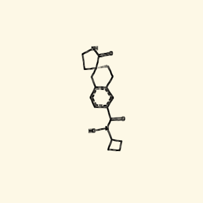 O=C(c1ccc2c(c1)CC[C@@]1(CCNC1=O)C2)N(O)C1CCC1